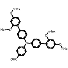 CCCCCCOc1ccc(-c2ccc(N(c3ccc(C=O)cc3)c3ccc(-c4ccc(OCCCCCC)cc4OCCCCCC)cc3)cc2)c(OCCCCCC)c1